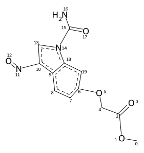 COC(=O)COc1ccc2c(N=O)cn(C(N)=O)c2c1